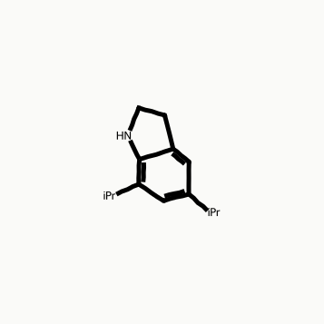 CC(C)c1cc2c(c(C(C)C)c1)NCC2